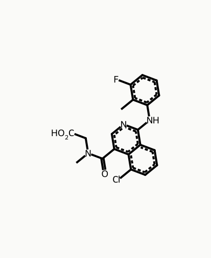 Cc1c(F)cccc1Nc1ncc(C(=O)N(C)CC(=O)O)c2c(Cl)cccc12